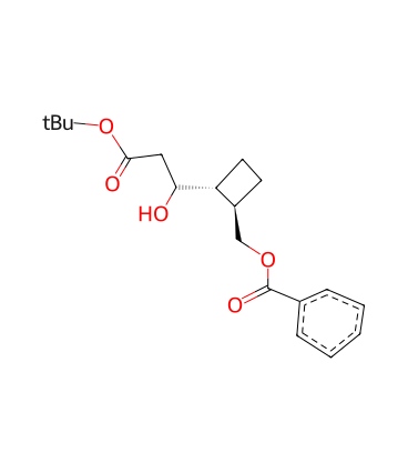 CC(C)(C)OC(=O)CC(O)[C@@H]1CC[C@H]1COC(=O)c1ccccc1